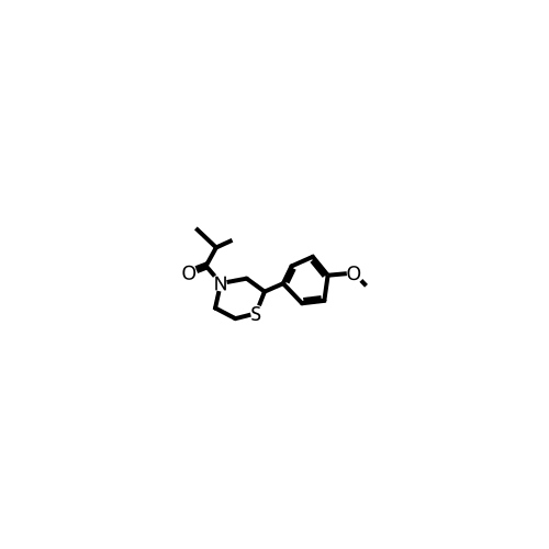 COc1ccc(C2CN(C(=O)C(C)C)CCS2)cc1